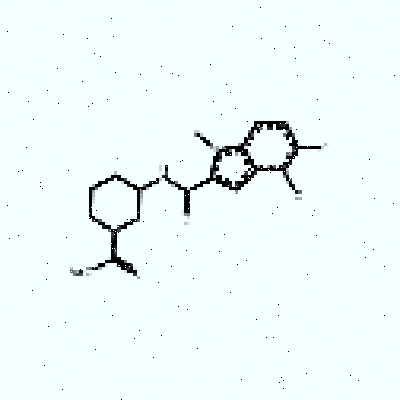 COC(=O)C1CCCC(NC(=O)c2cc3c(Cl)c(Cl)ccc3n2C)C1